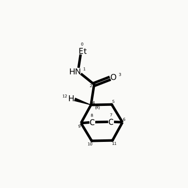 CCNC(=O)[C@@H]1CC2CCC1CC2